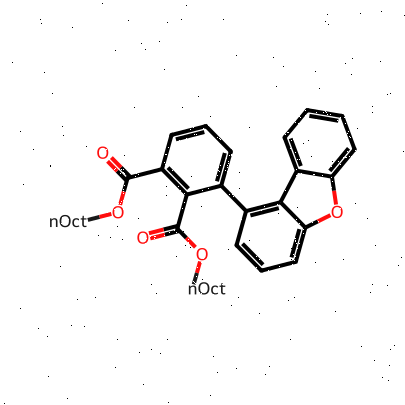 CCCCCCCCOC(=O)c1cccc(-c2cccc3oc4ccccc4c23)c1C(=O)OCCCCCCCC